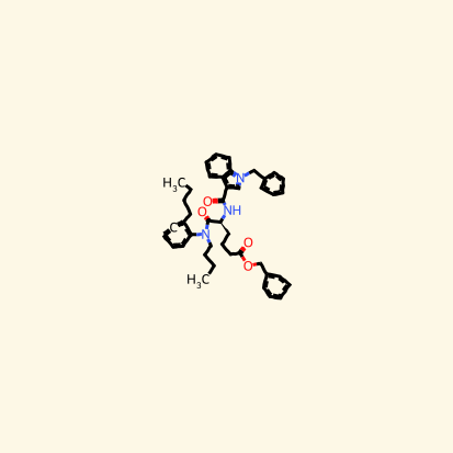 CCCCc1ccccc1N(CCCC)C(=O)[C@H](CCCC(=O)OCc1ccccc1)NC(=O)c1cn(Cc2ccccc2)c2ccccc12